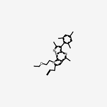 C=CCc1cc2c(C)nc3c(-c4c(C)cc(C)cc4C)c(C)nn3c2n1CCOCC